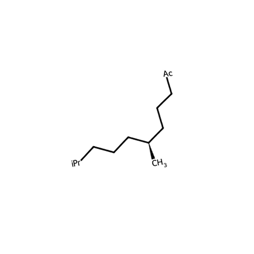 CC(=O)CCC[C@@H](C)CCCC(C)C